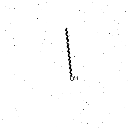 CC/C=C/C/C=C/C/C=C/C/C=C/CC/C=C/CC/C=C/CCCO